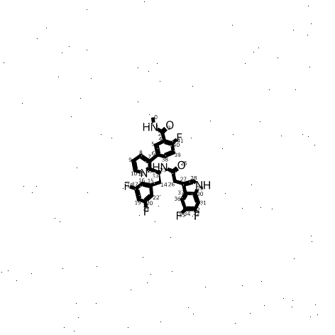 CNC(=O)c1cc(-c2cccnc2[C@H](Cc2cc(F)cc(F)c2)NC(=O)Cc2c[nH]c3cc(F)c(F)cc23)ccc1F